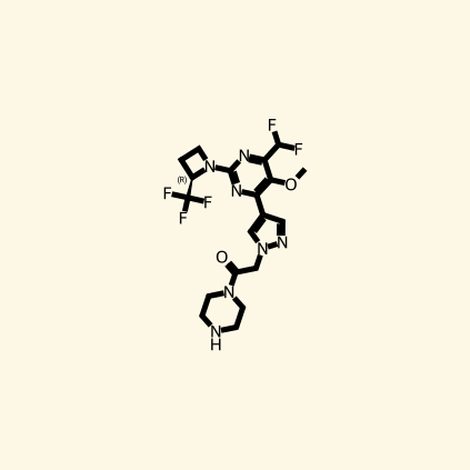 COc1c(-c2cnn(CC(=O)N3CCNCC3)c2)nc(N2CC[C@@H]2C(F)(F)F)nc1C(F)F